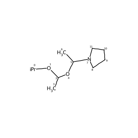 CC(C)OC(C)OC(C)N1CCCC1